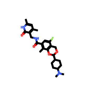 Cc1cc(C)c(CNC(=O)c2cc(F)c3c(c2C)OC(C2CCC(N(C)C)CC2)OC3)c(=O)[nH]1